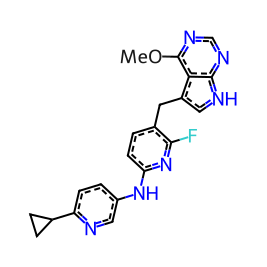 COc1ncnc2[nH]cc(Cc3ccc(Nc4ccc(C5CC5)nc4)nc3F)c12